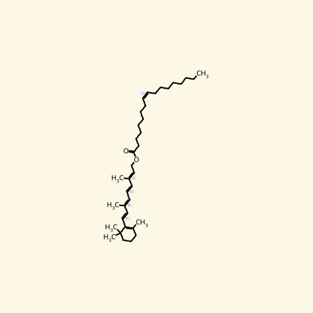 CCCCCCCC/C=C\CCCCCCCC(=O)OC/C=C(C)/C=C/C=C(C)/C=C/C1=C(C)CCCC1(C)C